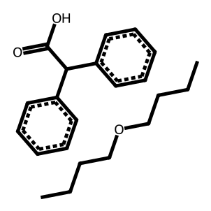 CCCCOCCCC.O=C(O)C(c1ccccc1)c1ccccc1